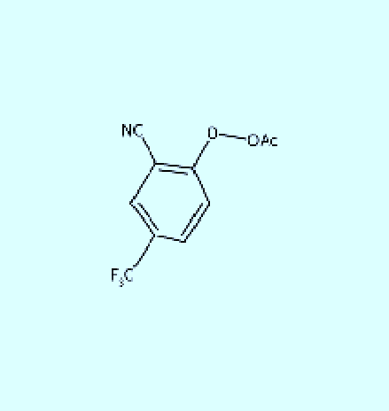 CC(=O)OOc1ccc(C(F)(F)F)cc1C#N